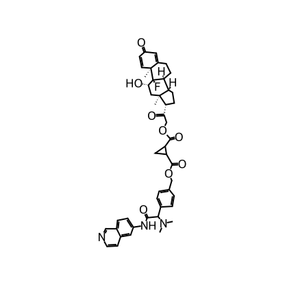 CN(C)C(C(=O)Nc1ccc2cnccc2c1)c1ccc(COC(=O)C2CC2C(=O)OCC(=O)[C@H]2CC[C@H]3[C@@H]4CCC5=CC(=O)C=C[C@]5(C)[C@@]4(F)[C@@H](O)C[C@]23C)cc1